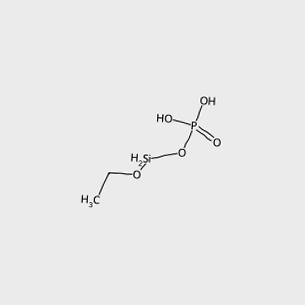 CCO[SiH2]OP(=O)(O)O